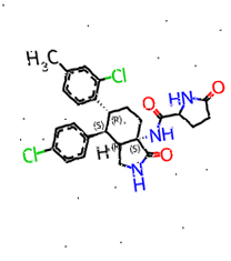 Cc1ccc([C@@H]2CC[C@@]3(NC(=O)C4CCC(=O)N4)C(=O)NC[C@H]3[C@H]2c2ccc(Cl)cc2)c(Cl)c1